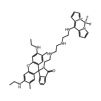 CCNc1cc2c(cc1C)C1(c3cc(C)c(NCC)cc3O2)c2ccccc2C(=O)N1CCNCCNCCNC1=C2C=CC=[N+]2[B-](F)(F)n2cccc21